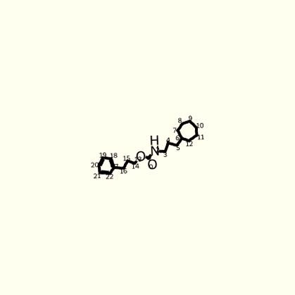 O=C(NCCCC1CCCCCC1)OCCCc1ccccc1